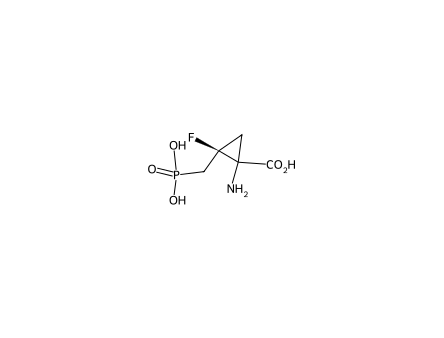 NC1(C(=O)O)C[C@@]1(F)CP(=O)(O)O